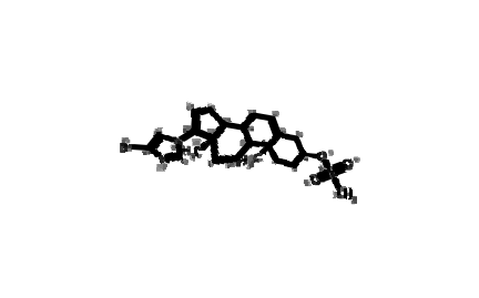 C[C@]12CC[C@H](OS(C)(=O)=O)CC1=CCC1C2CC[C@]2(C)C(n3cnc(Br)c3)=CCC12